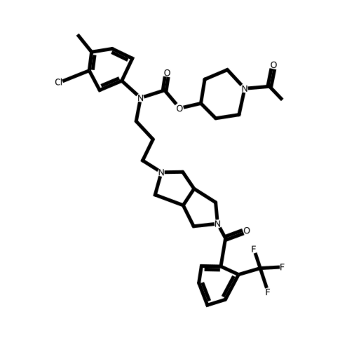 CC(=O)N1CCC(OC(=O)N(CCCN2CC3CN(C(=O)c4ccccc4C(F)(F)F)CC3C2)c2ccc(C)c(Cl)c2)CC1